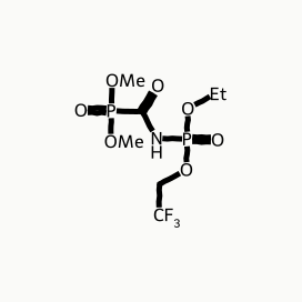 CCOP(=O)(NC(=O)P(=O)(OC)OC)OCC(F)(F)F